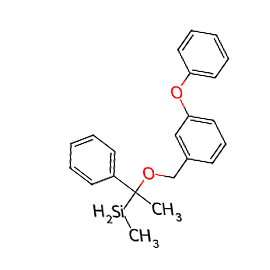 C[SiH2]C(C)(OCc1cccc(Oc2ccccc2)c1)c1ccccc1